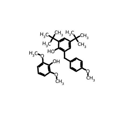 COc1ccc(Cc2cc(C(C)(C)C)cc(C(C)(C)C)c2O)cc1.COc1cccc(OC)c1O